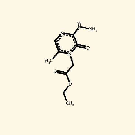 CCOC(=O)Cn1c(C)cnc(NN)c1=O